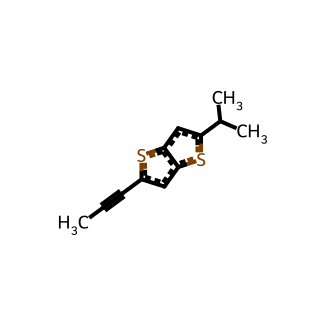 CC#Cc1cc2sc(C(C)C)cc2s1